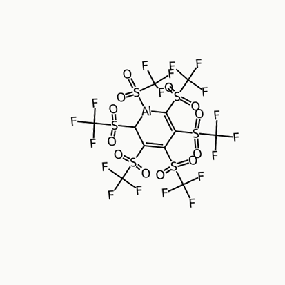 O=S(=O)(C1=C(S(=O)(=O)C(F)(F)F)[CH](S(=O)(=O)C(F)(F)F)[Al]([S](=O)(=O)C(F)(F)F)[C](S(=O)(=O)C(F)(F)F)=C1S(=O)(=O)C(F)(F)F)C(F)(F)F